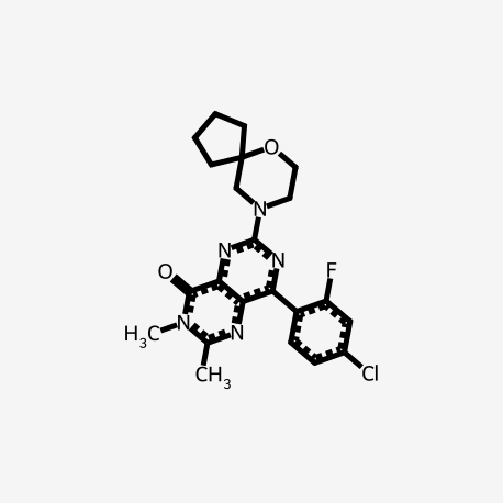 Cc1nc2c(-c3ccc(Cl)cc3F)nc(N3CCOC4(CCCC4)C3)nc2c(=O)n1C